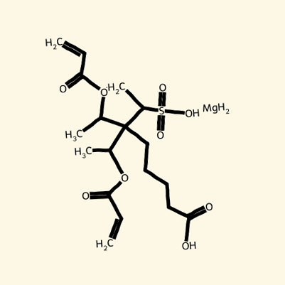 [CH2]C(C(CCCCC(=O)O)(C(C)OC(=O)C=C)C(C)OC(=O)C=C)S(=O)(=O)O.[MgH2]